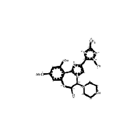 CCCCc1cc(OC)cc2c1-c1nc(-c3nc(C)nn3C(C)C)cn1C(N1CCNCC1)C(CC)O2